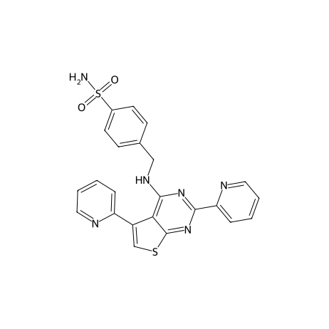 NS(=O)(=O)c1ccc(CNc2nc(-c3ccccn3)nc3scc(-c4ccccn4)c23)cc1